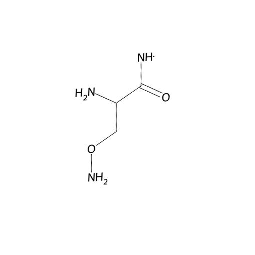 [NH]C(=O)C(N)CON